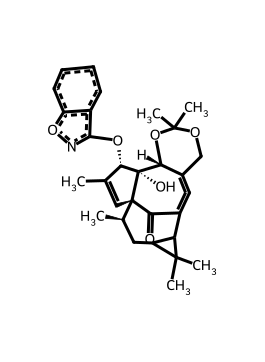 CC1=C[C@]23C(=O)C(=C=C4COC(C)(C)O[C@H]4[C@]2(O)[C@H]1Oc1noc2ccccc12)C1C(C[C@H]3C)C1(C)C